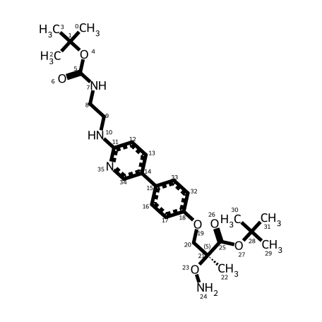 CC(C)(C)OC(=O)NCCNc1ccc(-c2ccc(OC[C@](C)(ON)C(=O)OC(C)(C)C)cc2)cn1